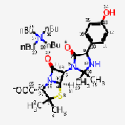 CC1(C)S[C@@H]2[C@H](N3C(=O)C(c4ccc(O)cc4)NC3(C)C)C(=O)N2[C@H]1C(=O)[O-].CCCC[N+](CCCC)(CCCC)CCCC